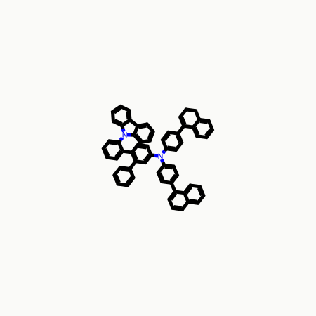 C1=C(c2ccc(N(c3ccc(-c4cccc5ccccc45)cc3)c3ccc(-c4ccccc4-n4c5ccccc5c5ccccc54)c(-c4ccccc4)c3)cc2)c2ccccc2CC1